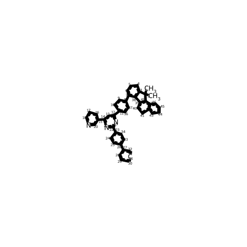 CC1(C)c2cccc(-c3ccc(-c4cc(-c5cccnc5)nc(-c5ccc(-c6ccccc6)cc5)n4)cc3)c2-c2ccc3ccccc3c21